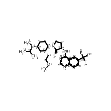 COCC[C@@H]1C[C@H](N(C)C(C)C)CC[C@@H]1N1CC[C@H](Nc2ncnc3ccc(C(F)(F)F)cc23)C1=O